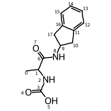 CC(NC(=O)O)C(=O)NC1Cc2ccccc2C1